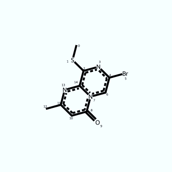 CSc1nc(Br)cn2c(=O)cc(C)nc12